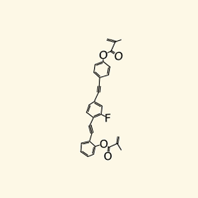 C=C(C)C(=O)Oc1ccc(C#Cc2ccc(C#Cc3ccccc3OC(=O)C(=C)C)c(F)c2)cc1